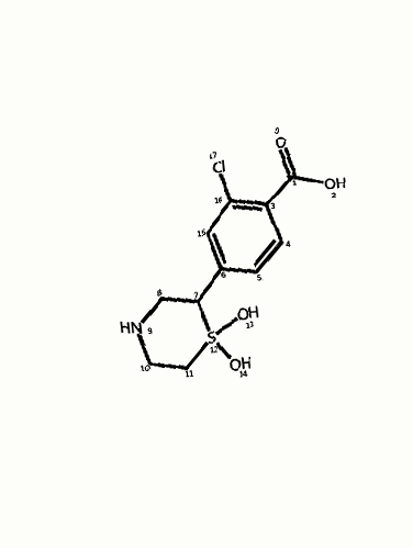 O=C(O)c1ccc(C2CNCCS2(O)O)cc1Cl